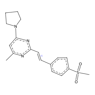 Cc1cc(N2CCCC2)nc(/C=C/c2ccc(S(C)(=O)=O)cc2)n1